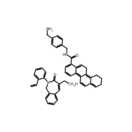 C=Cc1ccccc1N1Cc2ccccc2C=C(CC(=O)O)C1=O.NCc1ccc(CNC(=O)c2cccc3c2=CCc2c4c(ccc2=3)=CCCC4)cc1